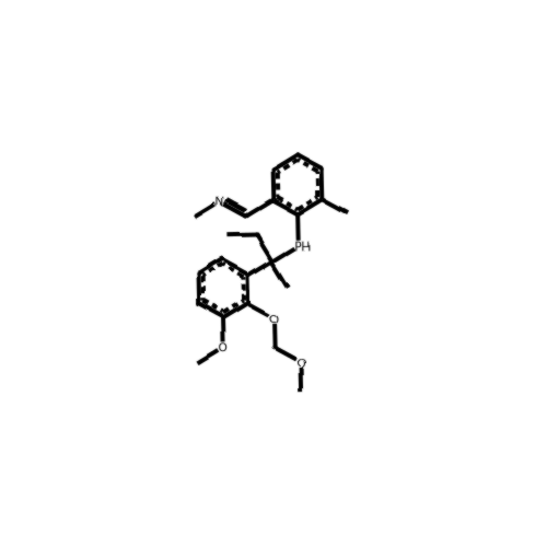 CCC(C)(Pc1c(C)cccc1/C=N/C)c1cccc(OC)c1OCOC